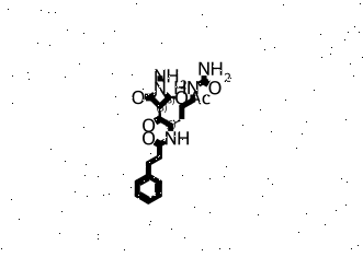 CC(=O)O[C@H]1[C@@H](C(=O)[C@H](CCCNC(N)=O)NC(=O)CCc2ccccc2)C(=O)N1N